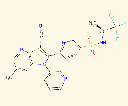 Cc1cnc2c(C#N)c(-c3ccc(S(=O)(=O)N[C@@H](C)C(F)(F)F)cn3)n(-c3cccnc3)c2c1